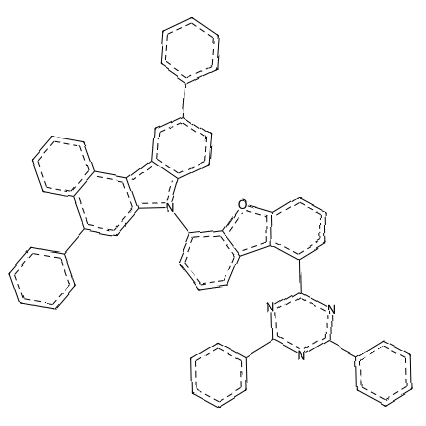 c1ccc(-c2ccc3c(c2)c2c4ccccc4c(-c4ccccc4)cc2n3-c2cccc3c2oc2cccc(-c4nc(-c5ccccc5)nc(-c5ccccc5)n4)c23)cc1